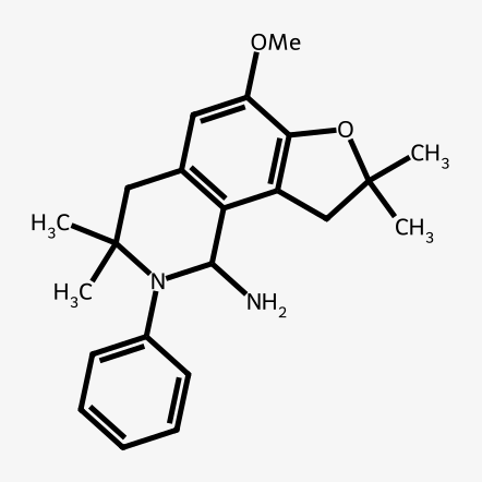 COc1cc2c(c3c1OC(C)(C)C3)C(N)N(c1ccccc1)C(C)(C)C2